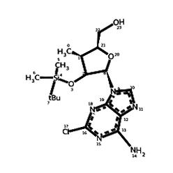 C[C@@H]1C(O[Si](C)(C)C(C)(C)C)[C@H](n2cnc3c(N)nc(Cl)nc32)O[C@@H]1CO